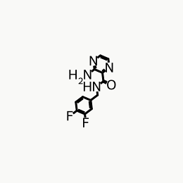 Nc1nccnc1C(=O)NCc1ccc(F)c(F)c1